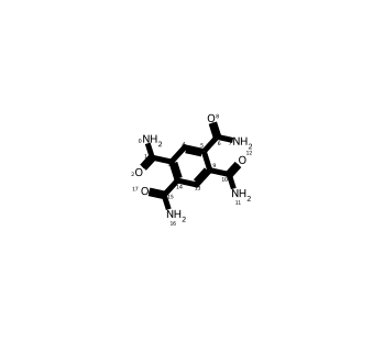 NC(=O)c1cc(C(N)=O)c(C(N)=O)cc1C(N)=O